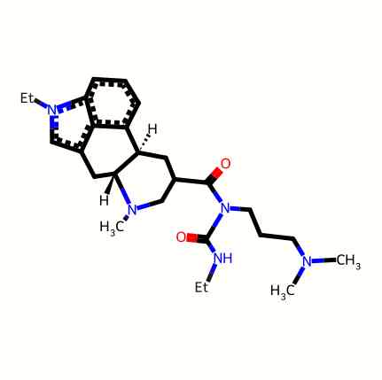 CCNC(=O)N(CCCN(C)C)C(=O)C1C[C@@H]2c3cccc4c3c(cn4CC)C[C@H]2N(C)C1